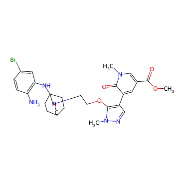 COC(=O)c1cc(-c2cnn(C)c2OCCN2CC3CCC(Nc4cc(Br)ccc4N)(CC3)C2)c(=O)n(C)c1